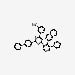 N#Cc1cccc(-c2nc(-c3ccc(-c4ccccc4)cc3)nc(-c3cccc(-c4ccccc4)c3-c3ccc4ccccc4c3)n2)c1